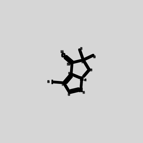 CC1(C)Cn2ncc(I)c2C1=O